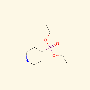 CCOP(=O)(OCC)C1CCNCC1